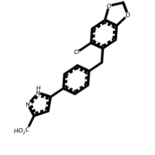 O=C(O)c1cc(-c2ccc(Cc3cc4c(cc3Cl)OCO4)cc2)[nH]n1